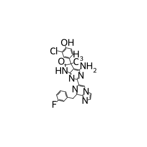 CC1(c2ccc(O)c(Cl)c2)C(=O)Nc2nc(-c3cn4ccnc4c(Cc4cccc(F)c4)n3)nc(N)c21